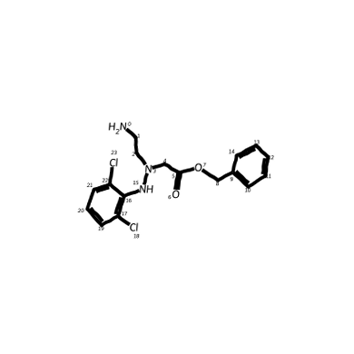 NCCN(CC(=O)OCc1ccccc1)Nc1c(Cl)cccc1Cl